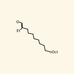 CCCCCCCCCCCCCCCC/C(=C/[O])CC